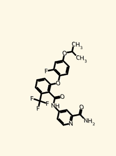 CC(C)Oc1ccc(Oc2cccc(C(F)(F)F)c2C(=O)Nc2ccnc(C(N)=O)c2)c(F)c1